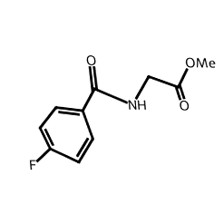 COC(=O)CNC(=O)c1ccc(F)cc1